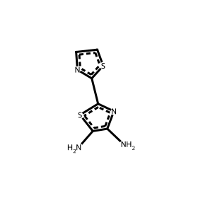 Nc1nc(-c2nccs2)sc1N